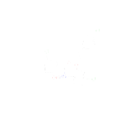 O=C(Nc1ccc(Cl)cc1OCCc1ccc(Cl)cc1)c1cc(Cl)ccc1O